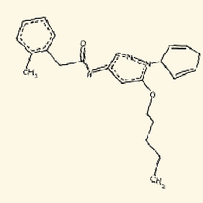 CCCCCOc1cc(=NC(=O)Cc2ccccc2C)cnn1C1C=CCC=C1